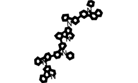 c1ccc(-n2c3ccc(-c4ccc5c6ccccc6n(-c6cc7c8c(nccc8c6)-c6ccccc6-7)c5c4)cc3c3cc(-c4cccc5c4-c4nccc6cc(-n7c8ccccc8c8cc(-c9ccc%10c(c9)c9ccc%11ccccc%11c9n%10-c9ccccc9)ccc87)cc-5c46)ccc32)cc1